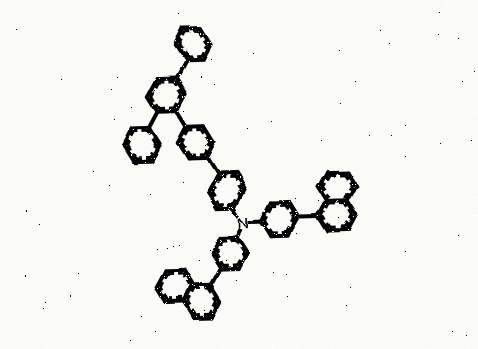 c1ccc(-c2ccc(-c3ccccc3)c(-c3ccc(-c4ccc(N(c5ccc(-c6cccc7ccccc67)cc5)c5ccc(-c6cccc7ccccc67)cc5)cc4)cc3)c2)cc1